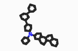 c1ccc(-c2cccc(-c3ccc(N(c4ccccc4)c4ccc5c(ccc6c7ccccc7ccc56)c4)cc3)c2)cc1